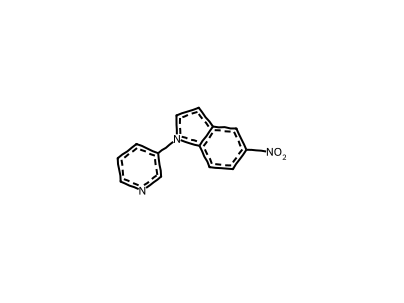 O=[N+]([O-])c1ccc2c(ccn2-c2cccnc2)c1